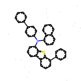 c1ccc(-c2ccc(N(c3cccc4ccccc34)c3cccc4c3sc3c(-c5ccccc5)cccc34)cc2)cc1